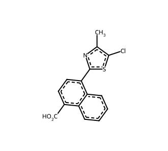 Cc1nc(-c2ccc(C(=O)O)c3ccccc23)sc1Cl